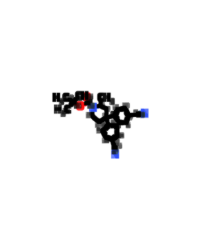 CC1CC(c2ccc(C#N)cc2)(c2ccc(C#N)cc2)CCN1C(=O)OC(C)(C)C